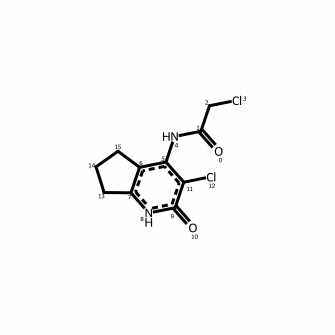 O=C(CCl)Nc1c2c([nH]c(=O)c1Cl)CCC2